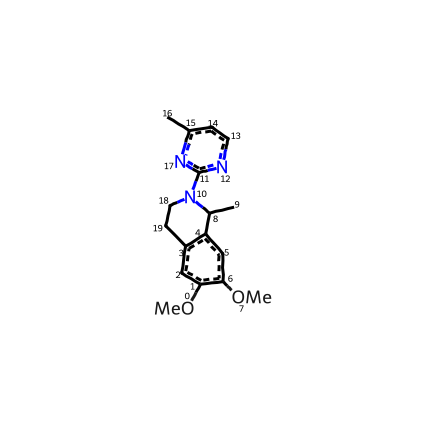 COc1cc2c(cc1OC)C(C)N(c1nccc(C)n1)CC2